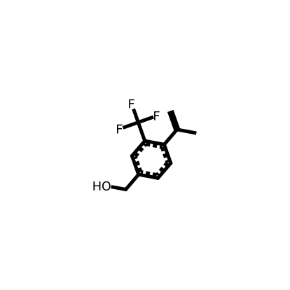 C=C(C)c1ccc(CO)cc1C(F)(F)F